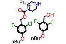 CCCCOc1cc(F)c(CO)c(Cl)c1.CCCCOc1cc(F)c(COC(=O)N2CCNC[C@H]2CC)c(Cl)c1